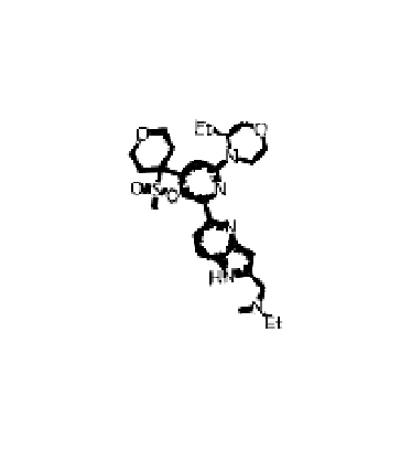 CC[C@H]1COCCN1c1cc(C2(S(C)(=O)=O)CCOCC2)cc(-c2ccc3[nH]c(CN(C)CC)cc3n2)n1